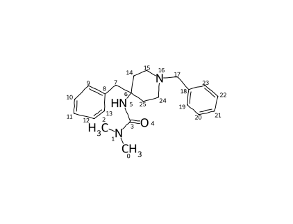 CN(C)C(=O)NC1(Cc2ccccc2)CCN(Cc2ccccc2)CC1